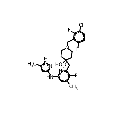 Cc1cc(Nc2cc(C)c(F)c(CC3(C(=O)O)CCN(Cc4c(F)ccc(Cl)c4F)CC3)n2)n[nH]1